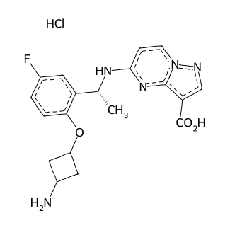 C[C@@H](Nc1ccn2ncc(C(=O)O)c2n1)c1cc(F)ccc1OC1CC(N)C1.Cl